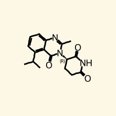 Cc1nc2cccc(C(C)C)c2c(=O)n1[C@@H]1CCC(=O)NC1=O